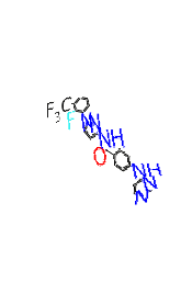 O=C(Nc1ccn(-c2cccc(C(F)(F)F)c2F)n1)c1ccc(Nc2ccncn2)cc1